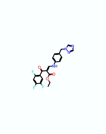 CCOC(=O)C(=CNc1ccc(Cn2cncn2)cc1)C(=O)c1cc(F)c(F)cc1F